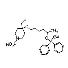 CC(CCCCOC1(CI)CCN(C(=O)O)CC1)O[Si](c1ccccc1)(c1ccccc1)C(C)(C)C